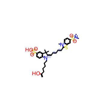 C=C(O)CCCCCN1/C(=C/C=C/C=C/c2sc3cc(S(=O)(=O)N(C)C)ccc3[n+]2C)C(C)(C)c2cc(S(=O)(=O)O)ccc21